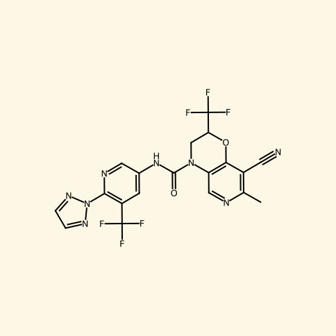 Cc1ncc2c(c1C#N)OC(C(F)(F)F)CN2C(=O)Nc1cnc(-n2nccn2)c(C(F)(F)F)c1